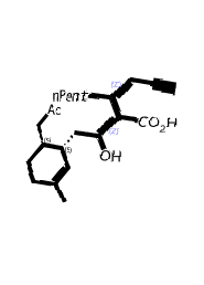 C#C/C=C(CCCCC)\C(C(=O)O)=C(\O)C[C@@H]1C=C(C)CC[C@H]1CC(C)=O